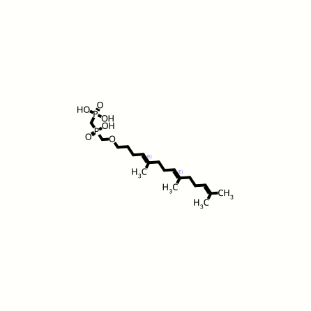 CC(C)=CCC/C(C)=C/CC/C(C)=C/CCCOCP(=O)(O)CP(=O)(O)O